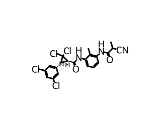 Cc1c(NC(=O)C(C)C#N)cccc1NC(=O)[C@H]1[C@H](c2cc(Cl)cc(Cl)c2)C1(Cl)Cl